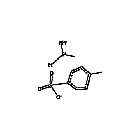 CCC[S+](C)CC.Cc1ccc(S(=O)(=O)[O-])cc1